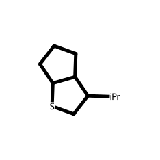 CC(C)C1CSC2CCCC21